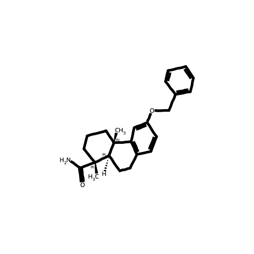 C[C@@]1(C(N)=O)CCC[C@]2(C)c3cc(OCc4ccccc4)ccc3CC[C@@H]12